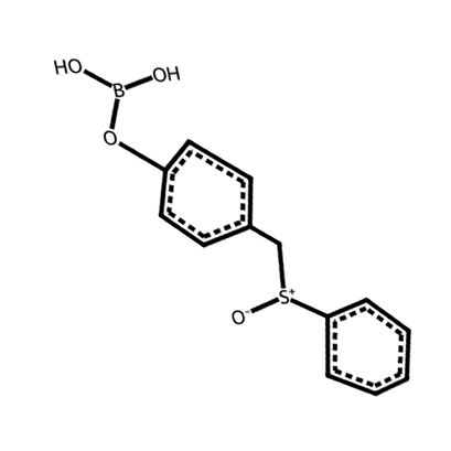 [O-][S+](Cc1ccc(OB(O)O)cc1)c1ccccc1